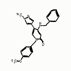 Cn1cc(-c2cn(-c3ccc(OC(F)(F)F)cc3)c(=O)cc2NCc2ccccc2)cn1